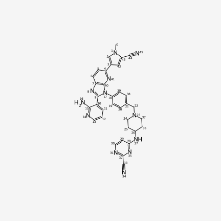 Cn1cc(-c2ccc3nc(-c4cccnc4N)n(-c4ccc(CN5CCC(Nc6ccnc(C#N)n6)CC5)cc4)c3n2)cc1C#N